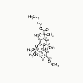 CCCCOC(=O)C(C)(C)c1cc(O)c2c(c1)OC(C)(C)[C@@H]1CCC(=COC)C[C@@H]21